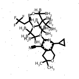 BC(B)(B)C1(B)C(B)(B)OB=C(CC(F)(F)F)N2C(B)(B)C(B)(B)N(c3nc(C4CC4)c4c(c3C#N)CC(C)(C)OC4)C(B)(B)[C@]21B